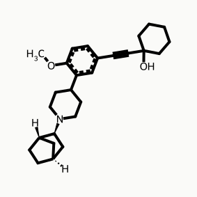 COc1ccc(C#CC2(O)CCCCC2)cc1C1CCN([C@H]2C[C@H]3CC[C@H]2C3)CC1